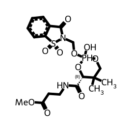 COC(=O)CCNC(=O)[C@@H]1O[PH](O)(OCN2C(=O)c3ccccc3S2(=O)=O)OCC1(C)C